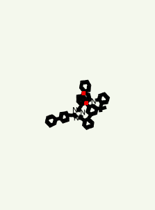 CC1(C)c2ccccc2-n2c3ccccc3c3cc(-c4ccccc4-c4nc(-c5ccc(-c6ccccc6)cc5)nc(-c5ccc(-c6ccccc6)cc5)n4)cc1c32